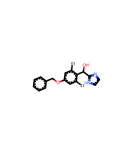 CCc1cc(OCc2ccccc2)cc(CC)c1C(O)c1ncc[nH]1